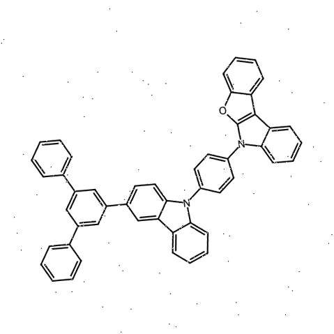 c1ccc(-c2cc(-c3ccccc3)cc(-c3ccc4c(c3)c3ccccc3n4-c3ccc(-n4c5ccccc5c5c6ccccc6oc54)cc3)c2)cc1